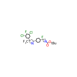 CC(C)(C)OC(=O)N1CC(F)(c2ccc(C3=NCC(c4cc(Cl)c(F)c(Cl)c4)(C(F)(F)F)C3)cc2)C1